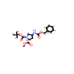 COC(=O)[C@H]1CC(NC(=O)OCc2ccccc2)CN1C(=O)OC(C)(C)C